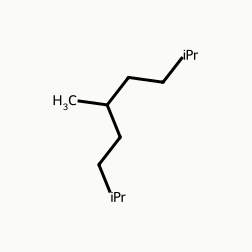 CC(C)CCC(C)CCC(C)C